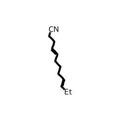 CCC=CCCCC=CCCC#N